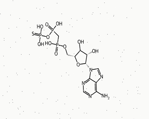 Nc1ncnc2c1ncn2[C@@H]1O[C@H](COP(=O)(O)CP(=O)(O)OP(O)(O)=S)C(O)[C@@H]1O